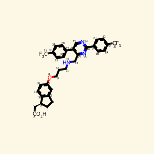 O=C(O)C[C@@H]1CCc2cc(OCCCNCc3nc(-c4ccc(C(F)(F)F)cc4)ncc3-c3ccc(C(F)(F)F)cc3)ccc21